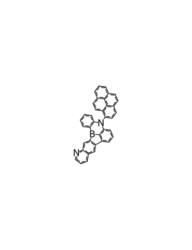 c1ccc2c(c1)B1c3cc4ncccc4cc3-c3cccc(c31)N2c1ccc2ccc3cccc4ccc1c2c34